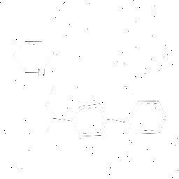 C/C(=C/CN1CCCCC1)c1ccc(-c2ccccc2F)cc1